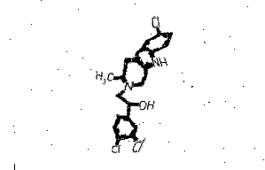 CC1Cc2c([nH]c3ccc(Cl)cc23)CN1CC(O)c1ccc(Cl)c(Cl)c1